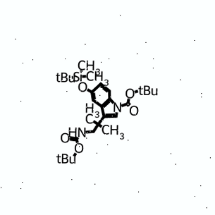 CC(C)(C)OC(=O)NCC(C)(C)c1cn(C(=O)OC(C)(C)C)c2ccc(O[Si](C)(C)C(C)(C)C)cc12